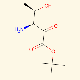 C[C@@H](O)[C@H](N)C(=O)C(=O)OC(C)(C)C